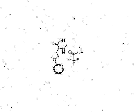 CNC(CCOc1ccccc1)C(=O)O.O=C(O)C(F)(F)F